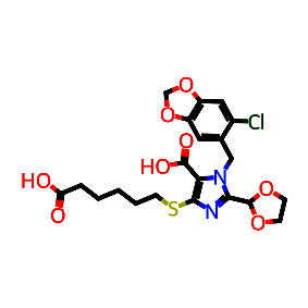 O=C(O)CCCCCSc1nc(C2OCCO2)n(Cc2cc3c(cc2Cl)OCO3)c1C(=O)O